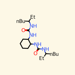 CCCCC(CC)NC(=O)NC1CCCCC1NC(=O)NC(CC)CCCC